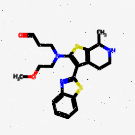 COCCN(CCC=O)c1sc2c(c1-c1nc3ccccc3s1)CCNC2C